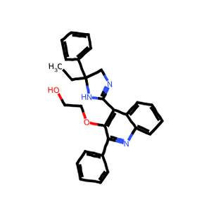 CCC1(c2ccccc2)CN=C(c2c(OCCO)c(-c3ccccc3)nc3ccccc23)N1